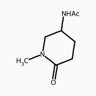 CC(=O)NC1CCC(=O)N(C)C1